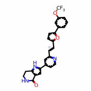 O=C1NCCc2[nH]c(-c3ccnc(/C=C/c4ccc(-c5cccc(OC(F)(F)F)c5)o4)c3)cc21